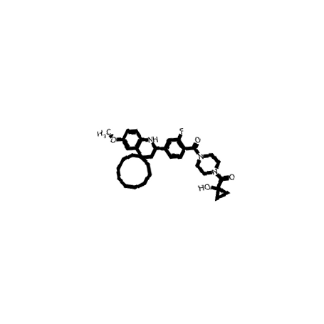 COc1ccc2c(c1)C1(CCCCCCCCC1)CC(c1ccc(C(=O)N3CCN(C(=O)C4(O)CC4)CC3)c(F)c1)N2